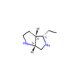 CC[C@@H]1NC[C@@H]2NCC[C@H]12